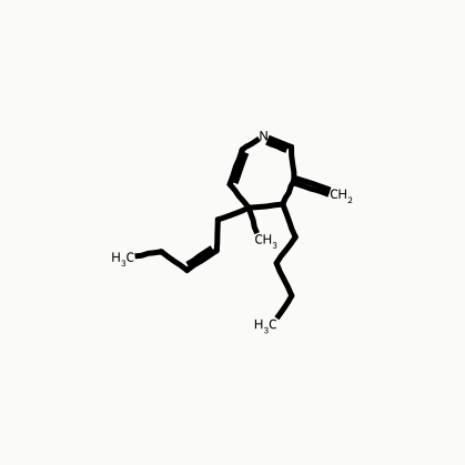 C=C1C=NC=CC(C)(C/C=C\CC)C1CCCC